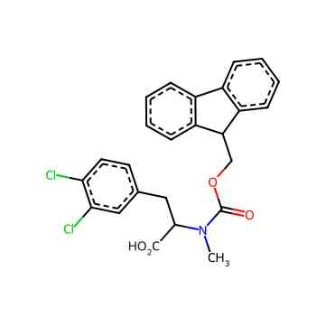 CN(C(=O)OCC1c2ccccc2-c2ccccc21)C(Cc1ccc(Cl)c(Cl)c1)C(=O)O